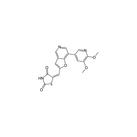 COc1cc(-c2cncc3cc(/C=C4/SC(=O)NC4=O)oc23)cnc1OC